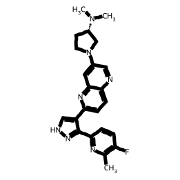 Cc1nc(-c2n[nH]cc2-c2ccc3ncc(N4CC[C@H](N(C)C)C4)cc3n2)ccc1F